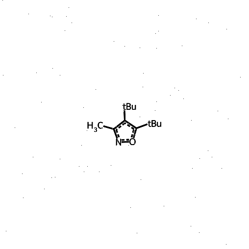 Cc1noc(C(C)(C)C)c1C(C)(C)C